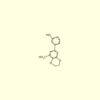 O=C(O)c1cc(-c2cccc(O)c2)cc2c1OCCO2